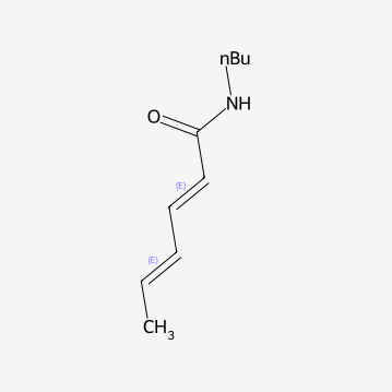 C/C=C/C=C/C(=O)NCCCC